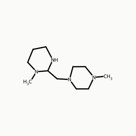 CN1CCN(CC2NCCCN2C)CC1